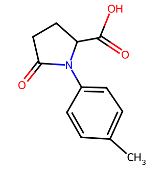 Cc1ccc(N2C(=O)CCC2C(=O)O)cc1